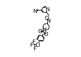 N#Cc1ccnc(CON=C2CCN(S(=O)(=O)c3ccc(OC(F)(F)F)cc3)CC2)c1